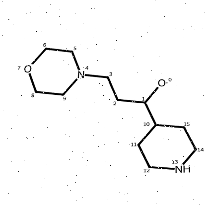 [O]C(CCN1CCOCC1)C1CCNCC1